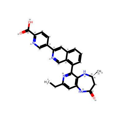 CCc1cc2c(c(-c3cccc4cc(-c5ccc(C(=O)O)nc5)ncc34)n1)N[C@H](C)CC(=O)N2